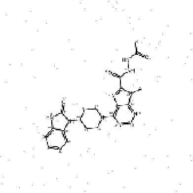 CC(=O)NNC(=O)c1nc2c(N3CCC(n4c(=O)[nH]c5ccccc54)CC3)ncnc2n1C